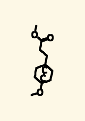 COC(=O)CCC12CCC(OC)(CC1)CC2